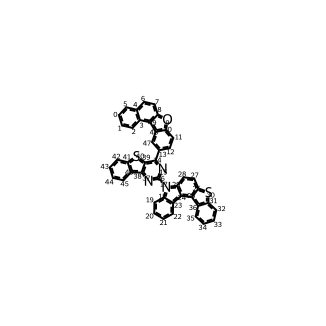 c1ccc2c(c1)ccc1oc3ccc(-c4nc(-n5c6ccccc6c6c7c(ccc65)sc5ccccc57)nc5c4sc4ccccc45)cc3c12